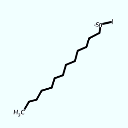 CCCCCCCCCCCC[CH2][Sn][I]